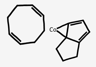 C1=C2CCC[C]23[Co][C]3=C1.C1=C\CC/C=C\CC/1